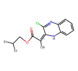 CCC(CC)COC(=O)/C(C#N)=C1/Nc2ccccc2N=C1Cl